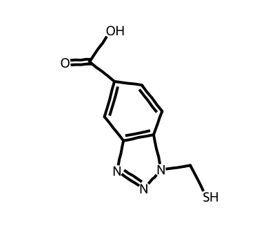 O=C(O)c1ccc2c(c1)nnn2CS